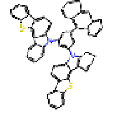 C1=Cc2c(n(-c3cc(-c4c5ccccc5cc5ccccc45)cc(-n4c5ccccc5c5c6sc7ccccc7c6ccc54)c3)c3ccc4c5ccccc5sc4c23)CC1